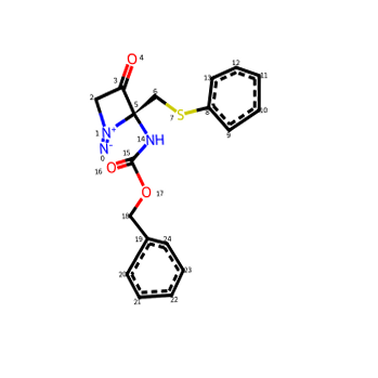 [N-]=[N+]1CC(=O)[C@]1(CSc1ccccc1)NC(=O)OCc1ccccc1